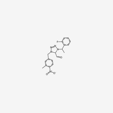 Cc1cc(CN2N=NN(C(C)c3ccccc3F)C2C=O)ccc1[N+](=O)[O-]